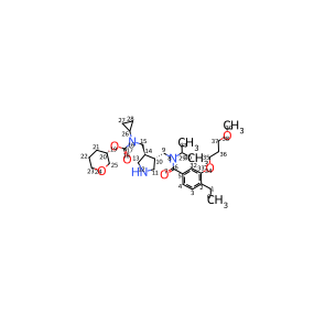 CCc1ccc(C(=O)N(C[C@@H]2CNC[C@H]2CN(C(=O)O[C@H]2CCCOC2)C2CC2)C(C)C)cc1OCCCOC